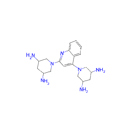 NC1CC(N)CN(c2cc(N3CC(N)CC(N)C3)c3ccccc3n2)C1